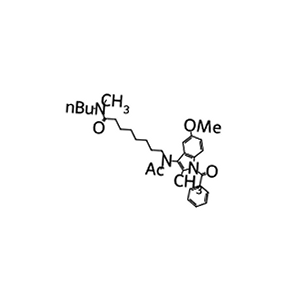 CCCCN(C)C(=O)CCCCCCCN(C(C)=O)c1c(C)n(C(=O)c2ccccc2)c2ccc(OC)cc12